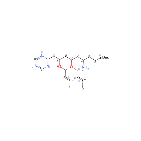 C/C=C/COC(Cc1ncncn1)CC(CC(N)CCCCCCCCCCCC)OC/C=C/C